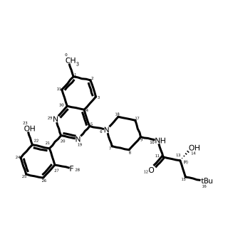 Cc1ccc2c(N3CCC(NC(=O)[C@H](O)CC(C)(C)C)CC3)nc(-c3c(O)cccc3F)nc2c1